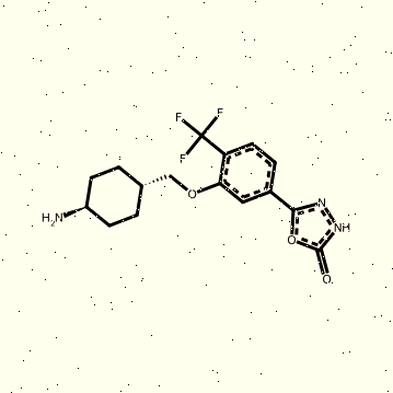 N[C@H]1CC[C@H](COc2cc(-c3n[nH]c(=O)o3)ccc2C(F)(F)F)CC1